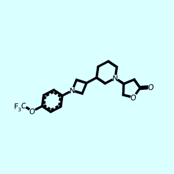 O=C1CC(N2CCCC(C3CN(c4ccc(OC(F)(F)F)cc4)C3)C2)CO1